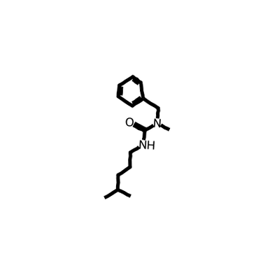 CC(C)CCCNC(=O)N(C)Cc1ccccc1